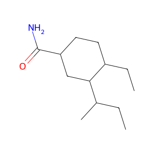 CCC(C)C1CC(C(N)=O)CCC1CC